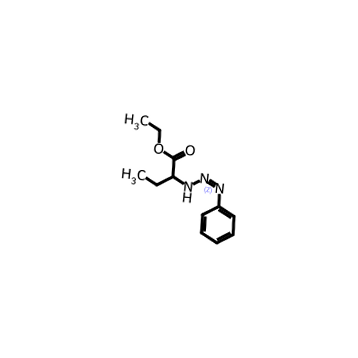 CCOC(=O)C(CC)N/N=N\c1ccccc1